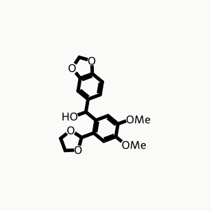 COc1cc(C2OCCO2)c(C(O)c2ccc3c(c2)OCO3)cc1OC